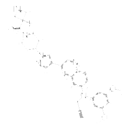 C#CCN(c1cc(OC)cc(OC)c1)c1ccc2ncc(-c3cnn(C4CCN(C(=O)C5(F)CNC5)CC4)c3)nc2c1